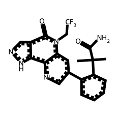 CC(C)(C(N)=O)c1ccccc1-c1cnc2c3[nH]ncc3c(=O)n(CC(F)(F)F)c2c1